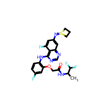 CC(NC(=O)COc1cc(F)ccc1Nc1ncnc2cc(N=S3CCC3)cc(F)c12)C(F)F